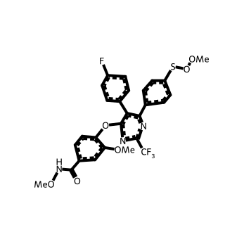 CONC(=O)c1ccc(Oc2nc(C(F)(F)F)nc(-c3ccc(SOOC)cc3)c2-c2ccc(F)cc2)c(OC)c1